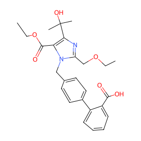 CCOCc1nc(C(C)(C)O)c(C(=O)OCC)n1Cc1ccc(-c2ccccc2C(=O)O)cc1